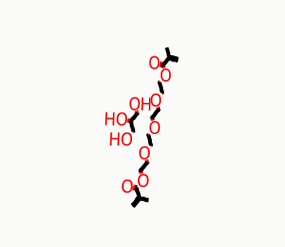 C=C(C)C(=O)OCCOCCOCCOCCOC(=O)C(=C)C.OCC(O)CO